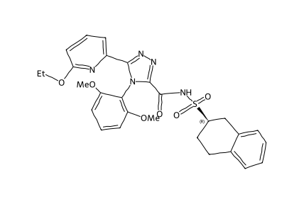 CCOc1cccc(-c2nnc(C(=O)NS(=O)(=O)[C@@H]3CCc4ccccc4C3)n2-c2c(OC)cccc2OC)n1